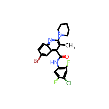 Cc1c(N2CCCCC2)nc2ccc(Br)cc2c1C(=O)Nc1[c]c(F)c(Cl)cc1F